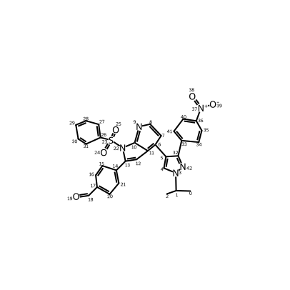 CC(C)n1cc(-c2ccnc3c2cc(-c2ccc(C=O)cc2)n3S(=O)(=O)c2ccccc2)c(-c2ccc([N+](=O)[O-])cc2)n1